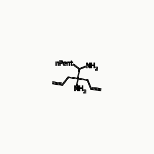 C=CCC(N)(CC=C)C(N)CCCCC